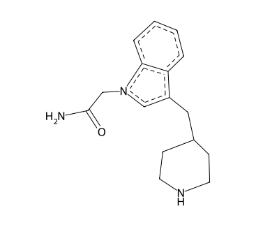 NC(=O)Cn1cc(CC2CCNCC2)c2ccccc21